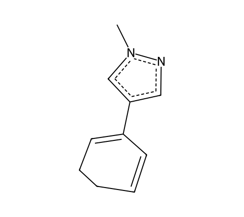 Cn1cc(C2=CCCC=C2)cn1